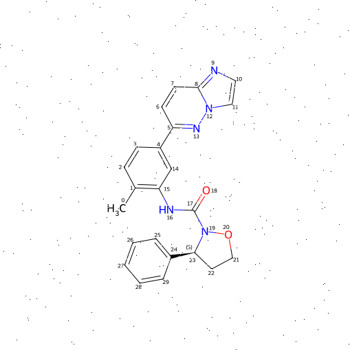 Cc1ccc(-c2ccc3nccn3n2)cc1NC(=O)N1OCC[C@H]1c1ccccc1